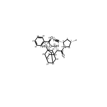 C[C@H]1C[C@@H](C#N)N(C(=O)[C@@H](NOC(=O)c2ccccc2)C23CC4CC(CC(O)(C4)C2)C3)C1